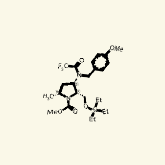 CC[Si](CC)(CC)OC[C@H]1[C@@H](N(Cc2ccc(OC)cc2)C(=O)C(F)(F)F)C[C@@H](C)N1C(=O)OC